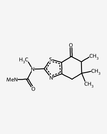 CNC(=O)N(C)c1nc2c(s1)C(=O)C(C)C(C)(C)C2